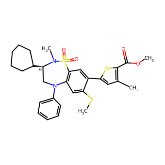 COC(=O)c1sc(-c2cc3c(cc2SC)N(c2ccccc2)C[C@@H](C2CCCCC2)N(C)S3(=O)=O)cc1C